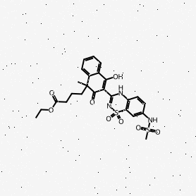 CCOC(=O)CCCC1(C)C(=O)C(C2=NS(=O)(=O)c3cc(NS(C)(=O)=O)ccc3N2)=C(O)c2ccccc21